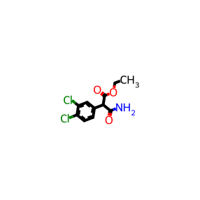 CCOC(=O)C(C(N)=O)c1ccc(Cl)c(Cl)c1